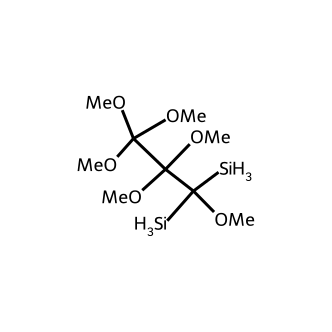 COC([SiH3])([SiH3])C(OC)(OC)C(OC)(OC)OC